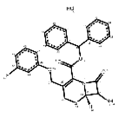 Cl.NC1C(=O)N2C(C(=O)OC(c3ccccc3)c3ccccc3)=C(COc3cccc(F)c3)CS[C@@H]12